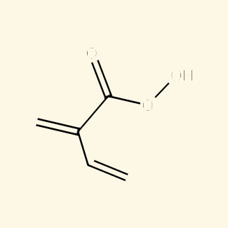 C=CC(=C)C(=O)OO